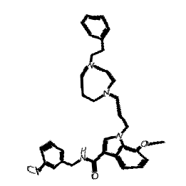 COc1cccc2c(C(=O)NCc3cccc(Cl)c3)cn(CCCN3CCCN(CCc4ccccc4)CC3)c12